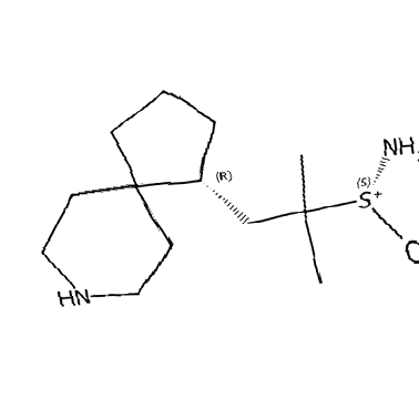 CC(C)(C[C@H]1CCCC12CCNCC2)[S@+](N)[O-]